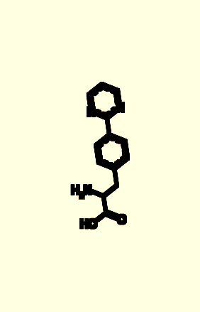 NC(Cc1ccc(-c2ncccn2)cc1)C(=O)O